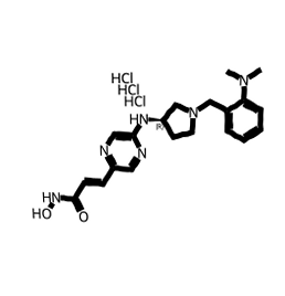 CN(C)c1ccccc1CN1CC[C@@H](Nc2cnc(C=CC(=O)NO)cn2)C1.Cl.Cl.Cl